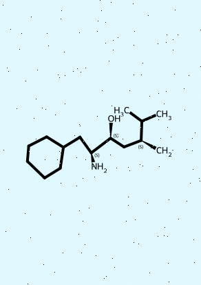 [CH2][C@@H](C[C@H](O)[C@@H](N)CC1CCCCC1)C(C)C